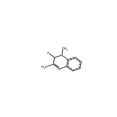 CC1=Nc2ccccc2N(C)C1F